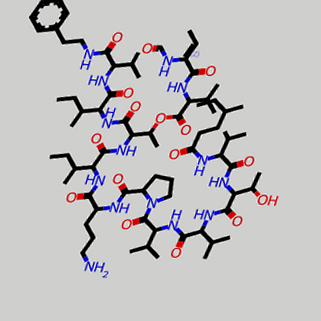 C/C=C(\NC=O)C(=O)NC(C(=O)OC(C)C(NC(=O)C(NC(=O)C(CCCN)NC(=O)C1CCCN1C(=O)C(NC(=O)C(NC(=O)C(NC(=O)C(NC(=O)CCC(C)CC)C(C)C)C(C)O)C(C)C)C(C)C)C(C)CC)C(=O)NC(C(=O)NC(C(=O)NCCc1ccccc1)C(C)C)C(C)CC)C(C)C